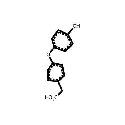 O=C(O)Cc1ccc(Oc2ccc(O)cc2)cc1